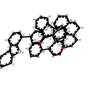 c1ccc(N(c2ccc(-c3cccc4c3oc3ccccc34)cc2)c2cccc3ccc4ccccc4c23)c(-c2ccccc2-n2c3ccccc3c3ccccc32)c1